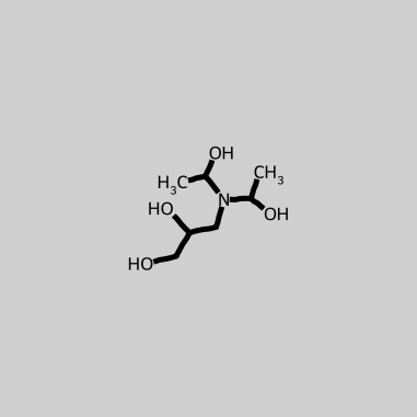 CC(O)N(CC(O)CO)C(C)O